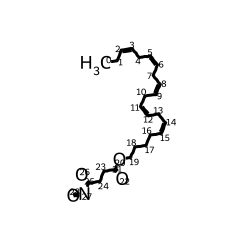 CC/C=C\C/C=C\C/C=C\C/C=C\C/C=C\CCCCOC(=O)CCC(=O)N=O